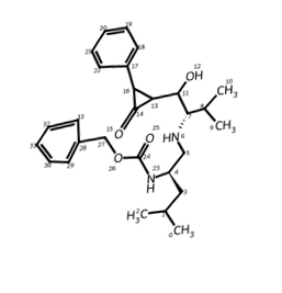 CC(C)C[C@H](CN[C@@H](C(C)C)C(O)C1C(=O)C1c1ccccc1)NC(=O)OCc1ccccc1